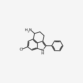 NC1CCc2c(-c3ccccc3)[nH]c3cc(Cl)cc1c23